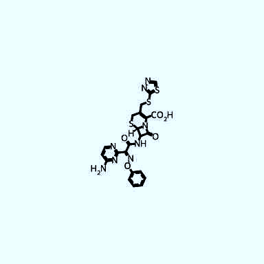 Nc1ccnc(C(=NOc2ccccc2)C(=O)NC2C(=O)N3C(C(=O)O)=C(CSc4nncs4)CS[C@@H]23)n1